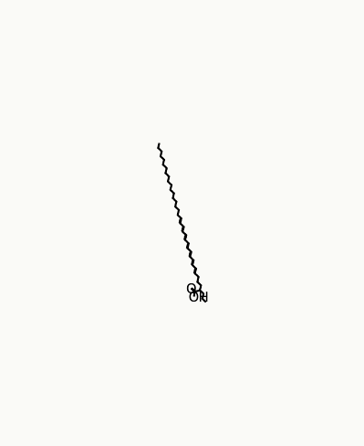 CCCCCCCCCCCCCCCCCC/C=C/C=C/C=C/C=C/C=C/C=C/C=C/CCCC(CCC)C(=O)O